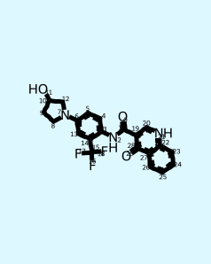 O=C(Nc1ccc(N2CCC(O)C2)cc1C(F)(F)F)c1c[nH]c2ccccc2c1=O